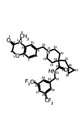 CN1C(=O)COc2ccc(CN3CCC(CC4CC4)(C(=O)NCc4cc(C(F)(F)F)cc(C(F)(F)F)c4)CC3)cc21